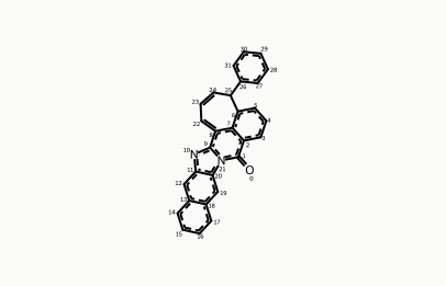 O=c1c2cccc3c2c(c2nc4cc5ccccc5cc4n12)=CC=CC3c1ccccc1